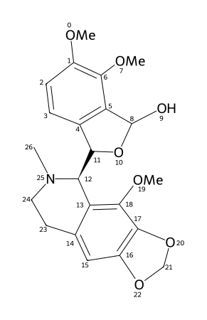 COc1ccc2c(c1OC)C(O)OC2[C@H]1c2c(cc3c(c2OC)OCO3)CCN1C